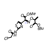 C=C(O/N=C(\C(=O)OC)c1csc(NC(=O)CCl)n1)C(=O)OC(C)(C)C